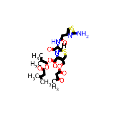 CC(=O)CC(=O)OCC1=C(C(=O)OC(OC(=O)CC(C)C)C(C)C)N2C(=O)[C@@H](NC(=O)Cc3csc(N)n3)[C@@H]2SC1